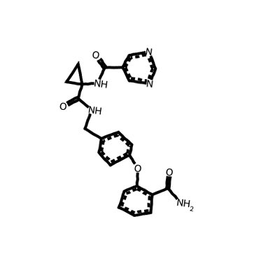 NC(=O)c1ccccc1Oc1ccc(CNC(=O)C2(NC(=O)c3cncnc3)CC2)cc1